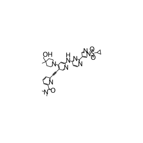 CN(C)C(=O)c1cccc(C#Cc2cnc(Nc3ccnc(-c4cnn(S(=O)(=O)C5CC5)c4)n3)cc2N2CCC(C)(CO)CC2)n1